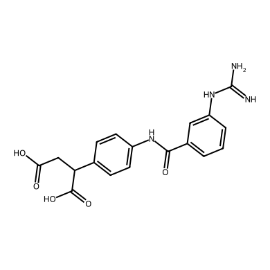 N=C(N)Nc1cccc(C(=O)Nc2ccc(C(CC(=O)O)C(=O)O)cc2)c1